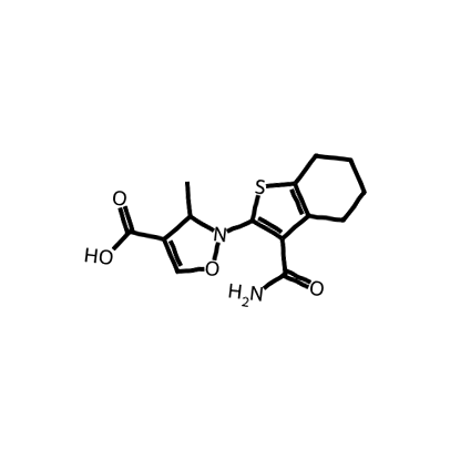 CC1C(C(=O)O)=CON1c1sc2c(c1C(N)=O)CCCC2